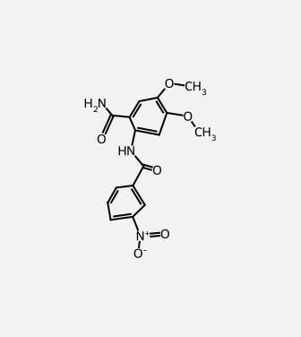 COc1cc(NC(=O)c2cccc([N+](=O)[O-])c2)c(C(N)=O)cc1OC